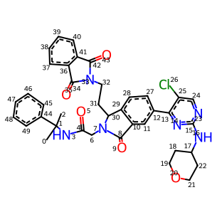 CC(C)(NC(=O)CN1C(=O)c2cc(-c3nc(NC4CCOCC4)ncc3Cl)ccc2C1CCN1C(=O)c2ccccc2C1=O)c1ccccc1